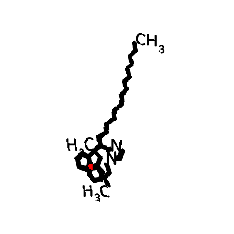 CCCCCCCCCCCCCCCCC(c1nccn1CCCCC)C(C)(Cc1ccccc1)c1ccccc1